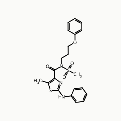 Cc1sc(Nc2ccccc2)nc1C(=O)N(CCCOc1ccccc1)S(C)(=O)=O